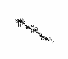 NCCOCCOCCNC(=O)CCCCCNC(=O)CCCC[C@@H]1SC[C@@H]2NC(=O)N[C@@H]21